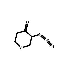 [N-]=[N+]=NC1COCCC1=O